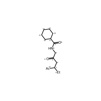 CCC(CC(=O)CNC(=O)C1CCCCC1)C(C)=O